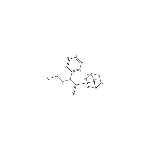 O=C(C(CCCl)c1ccccc1)N1CC2CCC(CC2)C1